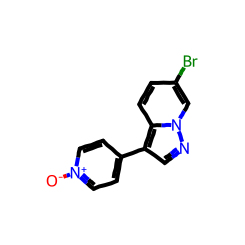 [O-][n+]1ccc(-c2cnn3cc(Br)ccc23)cc1